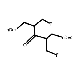 CCCCCCCCCCCC(CF)C(=O)C(CF)CCCCCCCCCCC